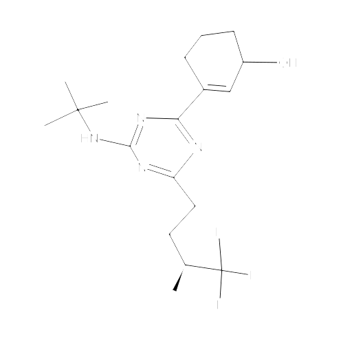 C[C@@H](CCc1nc(NC(C)(C)C)nc(C2=CC(O)CCC2)n1)C(F)(F)F